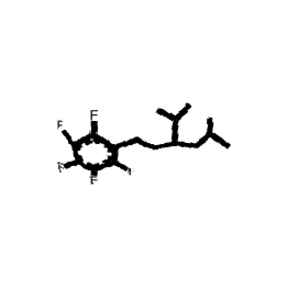 CC(C)CC(CCc1c(F)c(F)c(F)c(F)c1F)C(C)C